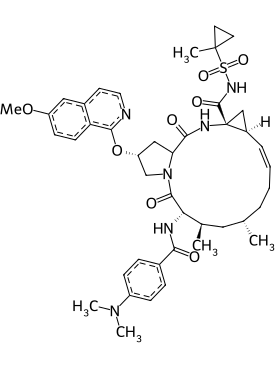 COc1ccc2c(O[C@@H]3CC4C(=O)N[C@]5(C(=O)NS(=O)(=O)C6(C)CC6)C[C@H]5/C=C\CC[C@H](C)C[C@@H](C)[C@H](NC(=O)c5ccc(N(C)C)cc5)C(=O)N4C3)nccc2c1